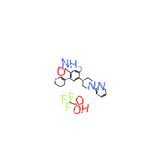 NC(=O)c1ccc(C2CCN(c3ccccn3)CC2)cc1C1=CCCCC1.O=C(O)C(F)(F)F